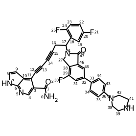 NC(=O)c1cnc2[nH]ccc2c1C#CC#CCC(c1cc(F)ccc1F)N1Cc2c(F)cc(-c3ccc(N4CCNCC4)cc3)cc2C1=O